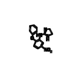 O=[N+]([O-])c1ccc(Oc2ccccc2)c(NC2=NCCN2)c1